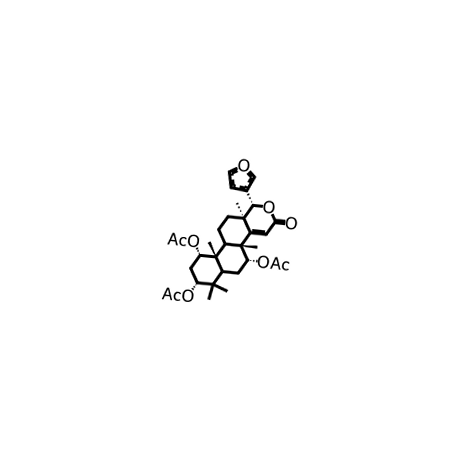 CC(=O)O[C@H]1C[C@@H](OC(C)=O)C(C)(C)C2C[C@@H](OC(C)=O)[C@@]3(C)C4=CC(=O)O[C@@H](c5ccoc5)[C@]4(C)CCC3[C@]21C